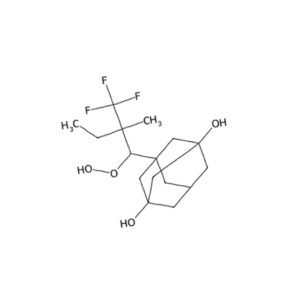 CCC(C)(C(OO)C12CC3CC(O)(CC(O)(C3)C1)C2)C(F)(F)F